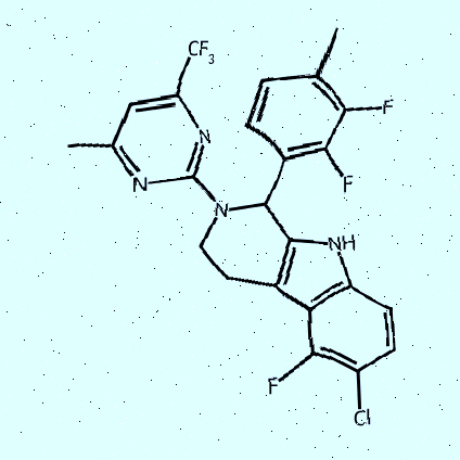 Cc1cc(C(F)(F)F)nc(N2CCc3c([nH]c4ccc(Cl)c(F)c34)C2c2ccc(C)c(F)c2F)n1